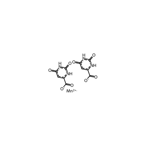 O=C([O-])c1cc(=O)[nH]c(=O)[nH]1.O=C([O-])c1cc(=O)[nH]c(=O)[nH]1.[Mn+2]